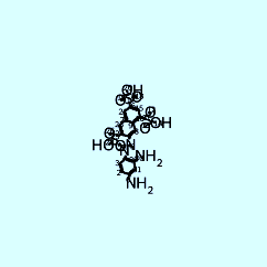 Nc1ccc(N=Nc2cc3c(S(=O)(=O)O)cc(S(=O)(=O)O)cc3cc2S(=O)(=O)O)c(N)c1